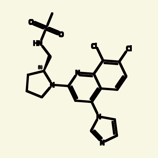 CS(=O)(=O)NC[C@@H]1CCCN1c1cc(-n2ccnc2)c2ccc(Cl)c(Cl)c2n1